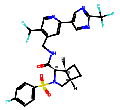 O=C(NCc1cc(-c2cnc(C(F)(F)F)nc2)ncc1C(F)F)[C@@H]1[C@H]2CC[C@H]2CN1S(=O)(=O)c1ccc(F)cc1